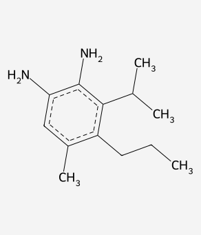 CCCc1c(C)cc(N)c(N)c1C(C)C